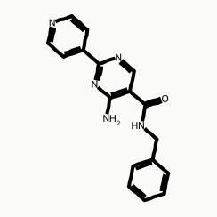 Nc1nc(-c2ccncc2)ncc1C(=O)NCc1ccccc1